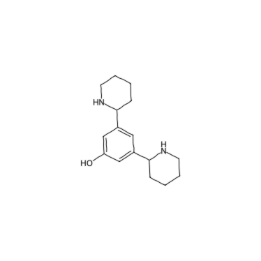 Oc1cc(C2CCCCN2)cc(C2CCCCN2)c1